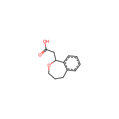 O=C(O)CC1OCCCc2ccccc21